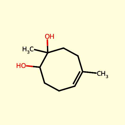 C/C1=C/CCC(O)C(C)(O)CC1